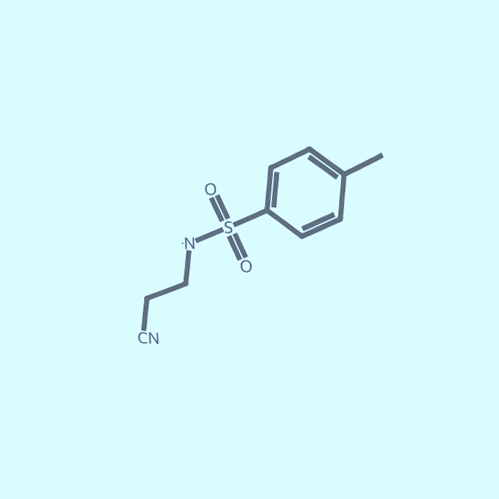 Cc1ccc(S(=O)(=O)[N]CCC#N)cc1